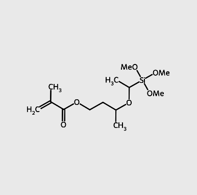 C=C(C)C(=O)OCCC(C)OC(C)[Si](OC)(OC)OC